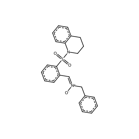 O=S(=O)(c1ccccc1C=[N+]([O-])Cc1ccccc1)N1CCCc2ccccc21